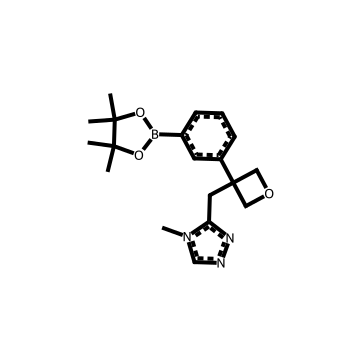 Cn1cnnc1CC1(c2cccc(B3OC(C)(C)C(C)(C)O3)c2)COC1